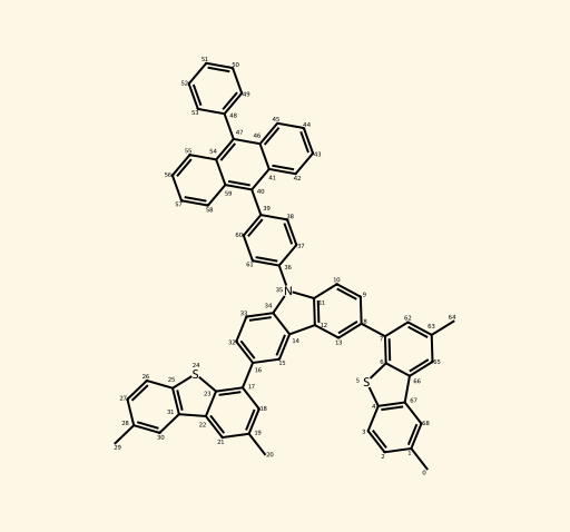 Cc1ccc2sc3c(-c4ccc5c(c4)c4cc(-c6cc(C)cc7c6sc6ccc(C)cc67)ccc4n5-c4ccc(-c5c6ccccc6c(-c6ccccc6)c6ccccc56)cc4)cc(C)cc3c2c1